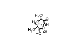 CC(C)C(=O)O.CC(C)C(=O)O.[Zn]